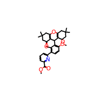 COC(=O)c1cccc(-c2ccc(OC)c(C3C4=C(CC(C)(C)CC4=O)OC4=C3C(=O)CC(C)(C)C4)c2C)n1